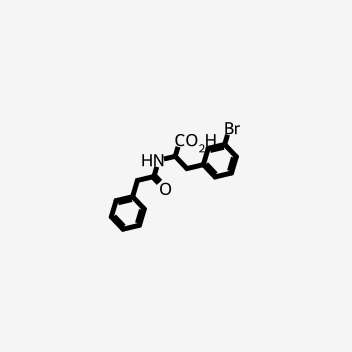 O=C(Cc1ccccc1)NC(Cc1cccc(Br)c1)C(=O)O